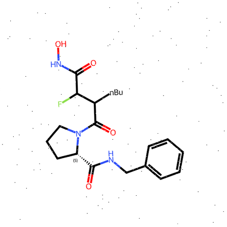 CCCCC(C(=O)N1CCC[C@H]1C(=O)NCc1ccccc1)C(F)C(=O)NO